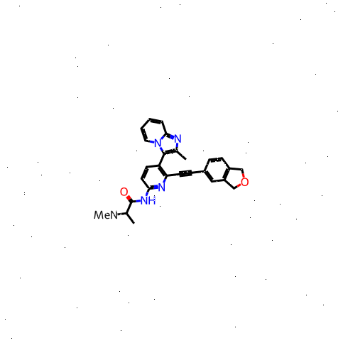 CNC(C)C(=O)Nc1ccc(-c2c(C)nc3ccccn23)c(C#Cc2ccc3c(c2)COC3)n1